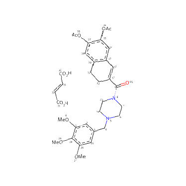 COc1cc(CN2CCN(C(=O)C3=Cc4cc(OC(C)=O)c(OC(C)=O)cc4CC3)CC2)cc(OC)c1OC.O=C(O)C=CC(=O)O